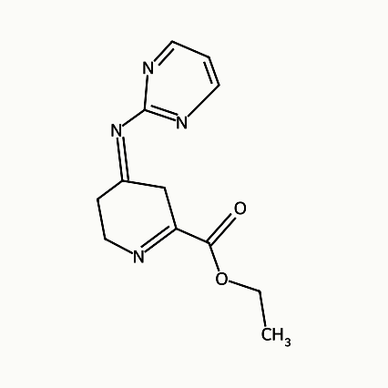 CCOC(=O)C1=NCCC(=Nc2ncccn2)C1